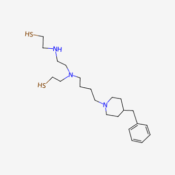 SCCNCCN(CCS)CCCCN1CCC(Cc2ccccc2)CC1